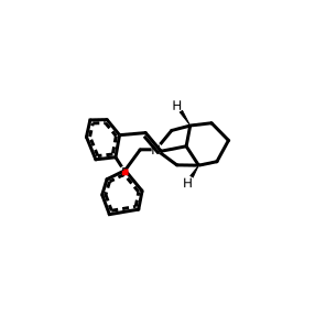 Fc1ccccc1/C=C/C1[C@@H]2CCC[C@H]1CN(Cc1ccccc1)C2